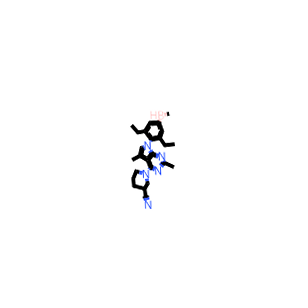 CBc1cc(CC)c(-n2cc(C)c3c(N4CCCC(C#N)C4)nc(C)nc32)c(CC)c1